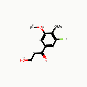 COc1c(F)cc(C(=O)CCO)cc1OC(C)C